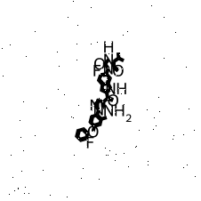 Cc1cc(Oc2ccccc2F)ccc1-n1ncc(C(=O)c2cc3cc(F)c(N4C(=O)NC(C(C)C)C4=O)cc3[nH]2)c1N